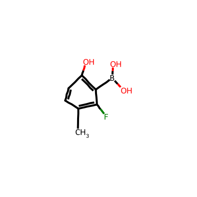 Cc1ccc(O)c(B(O)O)c1F